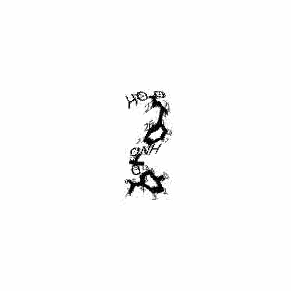 Cc1ccc(C(C)C)c(OC(C)(C)C(=O)Nc2ccc(C(C)CC(=O)O)cc2)c1